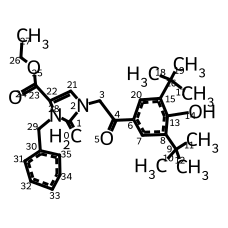 C=C1N(CC(=O)c2cc(C(C)(C)C)c(O)c(C(C)(C)C)c2)C=C(C(=O)OCC)N1Cc1ccccc1